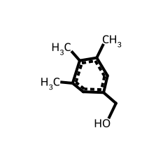 Cc1cc(CO)cc(C)c1C